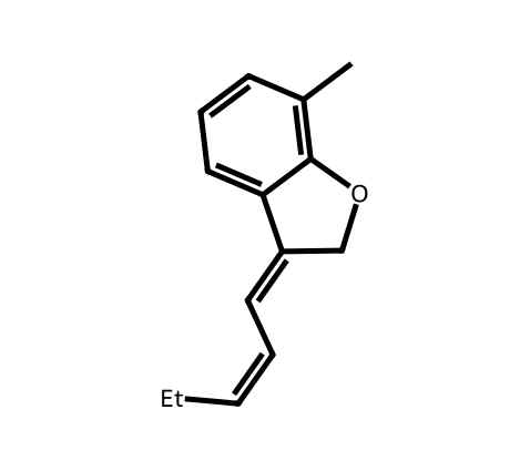 CC/C=C\C=C1/COc2c(C)cccc21